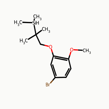 COc1ccc(Br)cc1OCC(C)(C)[SiH](C)C